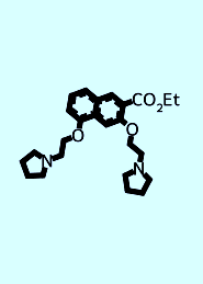 CCOC(=O)c1cc2cccc(OCCN3CCCC3)c2cc1OCCN1CCCC1